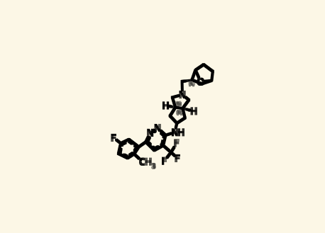 Cc1ccc(F)cc1-c1cc(C(F)(F)F)c(NC2C[C@@H]3CN(C[C@@H]4CC5CCC4O5)C[C@@H]3C2)nn1